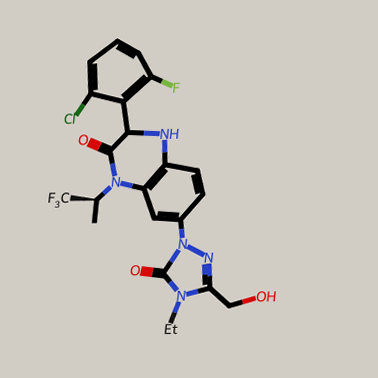 CCn1c(CO)nn(-c2ccc3c(c2)N([C@@H](C)C(F)(F)F)C(=O)C(c2c(F)cccc2Cl)N3)c1=O